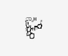 O=C(O)COCc1nc(NCc2cccc(F)c2)c2c3c(sc2n1)CCCC3